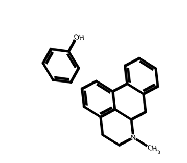 CN1CCc2cccc3c2C1Cc1ccccc1-3.Oc1ccccc1